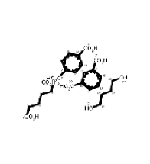 O=C(O)CCCCC(=O)O.O=C(O)c1ccc(C(=O)O)cc1.O=C(O)c1cccc(C(=O)O)c1.OCCCCO